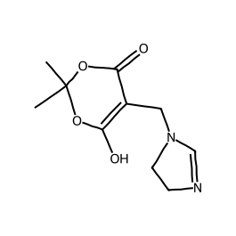 CC1(C)OC(=O)C(CN2C=NCC2)=C(O)O1